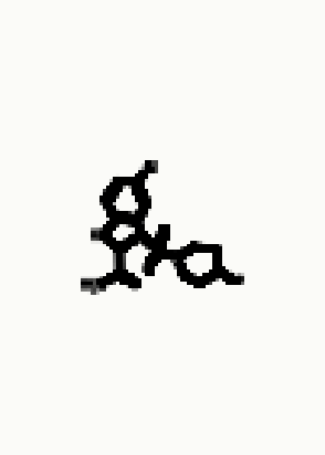 CC(=O)N1CCN(S(=O)(=O)C2c3cc(Cl)ccc3NC2C(N)=O)CC1